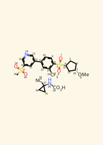 CO[C@H]1CC[C@H](S(=O)(=O)c2ccc(-c3cncc(S(C)(=O)=O)c3)cc2C(F)(F)F)C1.N#CC1(NC(=O)O)CC1